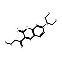 CCCC(=O)c1cc2ccc(N(CC)CC)cc2oc1=O